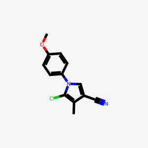 COc1ccc(-n2cc(C#N)c(C)c2Cl)cc1